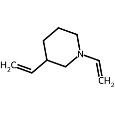 C=CC1CCCN(C=C)C1